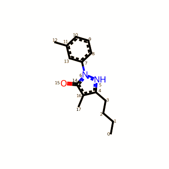 CCCCc1[nH]n(-c2cccc(C)c2)c(=O)c1C